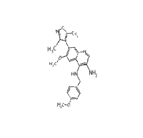 COc1ccc(CNc2c(N)cnc3cc(-c4c(C)noc4C)c(OC)cc23)cc1